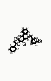 O=C(C1=COC=C(C2=CC=CCC2)O1)c1cn(Cc2cccc(Br)n2)c2ccccc2c1=O